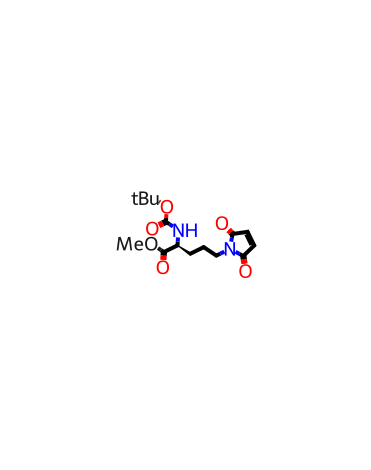 COC(=O)[C@H](CCCN1C(=O)C=CC1=O)NC(=O)OC(C)(C)C